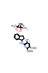 COc1nc(NC2CCc3c(B4OC(C)(C)C(C)(C)O4)cccc32)c(C(F)(F)F)cc1C=O